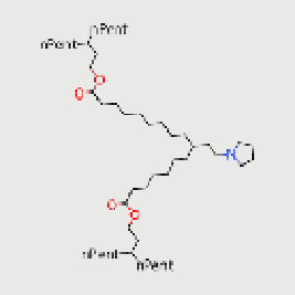 CCCCCC(CCCCC)CCOC(=O)CCCCCCCCC(CCCCCCC(=O)OCCC(CCCCC)CCCCC)CCN1CCCC1